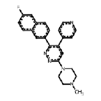 CN1CCN(c2cc(-c3ccncc3)c(-c3ccc4cc(F)ccc4c3)nn2)CC1